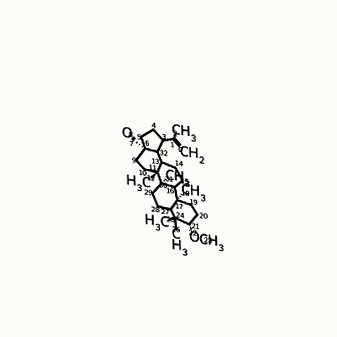 C=C(C)C1CC[C@]2(C=O)CC[C@]3(C)C(CCC4[C@@]5(C)CC[C@H](OC)C(C)(C)C5CC[C@]43C)C12